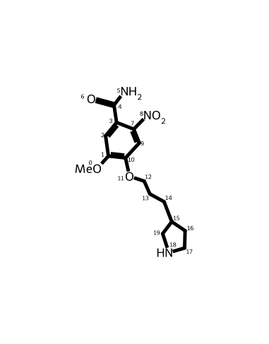 COc1cc(C(N)=O)c([N+](=O)[O-])cc1OCCCC1CCNC1